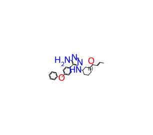 CC=CC(=O)[C@H]1CCCC(Nc2ncnc(N)c2-c2ccc(Oc3ccccc3)cc2)C1